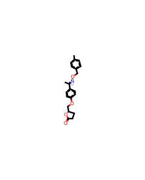 C/C(=N\OCc1ccc(C)cc1)c1ccc(OCC2CCC(=O)O2)cc1